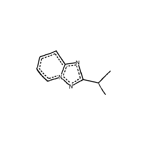 CC(C)c1nc2ccccn2n1